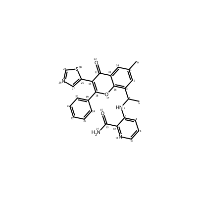 Cc1cc(C(C)Nc2cccnc2C(N)=O)c2oc(-c3ccccc3)c(-c3cncs3)c(=O)c2c1